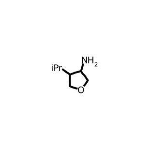 CC(C)C1COCC1N